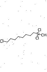 C[Si](Cl)(Cl)CCCCCCCCCl